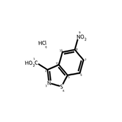 Cl.O=C(O)c1nsc2ccc([N+](=O)[O-])cc12